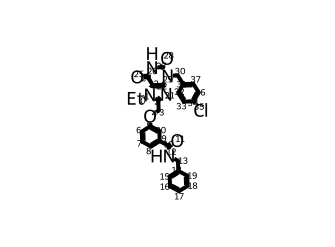 CCn1c(COc2cccc(C(=O)NCc3ccccc3)c2)nc2c1c(=O)[nH]c(=O)n2Cc1ccc(Cl)cc1